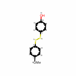 COc1ccc(SSc2ccc(O)cc2)cc1